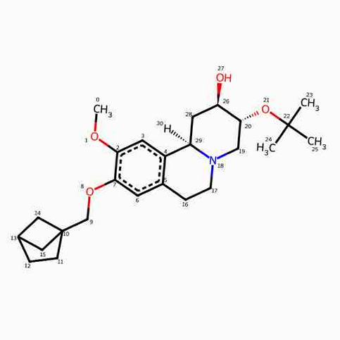 COc1cc2c(cc1OCC13CCC(C1)C3)CCN1C[C@@H](OC(C)(C)C)[C@H](O)C[C@H]21